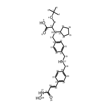 CC(C)(C)OCC(C(=O)O)N(Cc1ccc(CNCc2ccc(C=CC(=O)NO)cc2)cc1)C1CCCC1